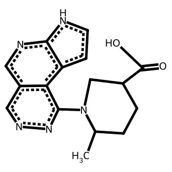 CC1CCC(C(=O)O)CN1c1nncc2cnc3[nH]ccc3c12